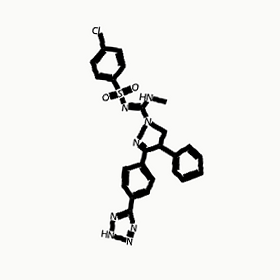 CN/C(=N\S(=O)(=O)c1ccc(Cl)cc1)N1CC(c2ccccc2)C(c2ccc(-c3nn[nH]n3)cc2)=N1